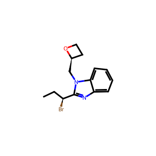 CC[C@H](Br)c1nc2ccccc2n1C[C@@H]1CCO1